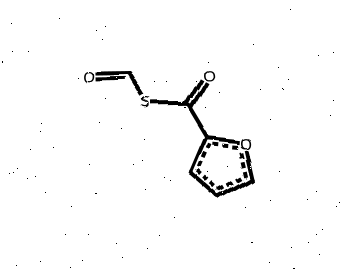 O=CSC(=O)c1ccco1